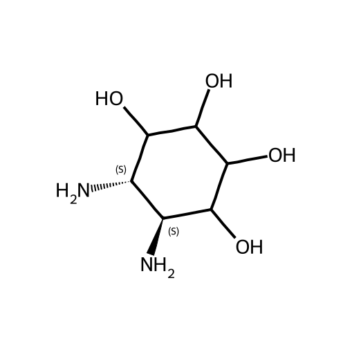 N[C@@H]1C(O)C(O)C(O)C(O)[C@H]1N